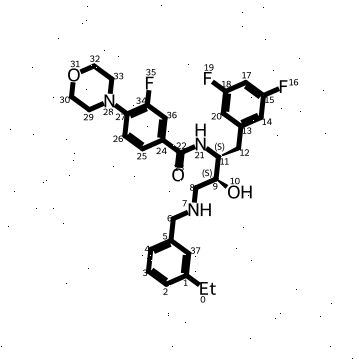 CCc1cccc(CNC[C@H](O)[C@H](Cc2cc(F)cc(F)c2)NC(=O)c2ccc(N3CCOCC3)c(F)c2)c1